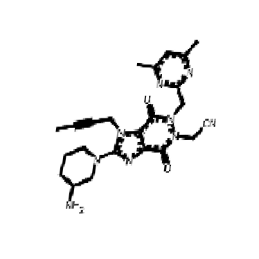 CC#CCn1c(N2CCCC(N)C2)nc2c(=O)n(CC#N)n(Cc3nc(C)cc(C)n3)c(=O)c21